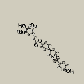 CC(C)(C)c1cc(CCC(=O)Oc2ccc(-c3ccc(OC(=O)c4ccc(O)cc4)cc3)cc2)cc(C(C)(C)C)c1O